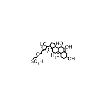 CC(CCCOCCS(=O)(=O)O)C1CCC2C3C(CC[C@]12C)[C@@]1(C)CC[C@@H](O)C[C@H]1[C@H](O)[C@@H]3O